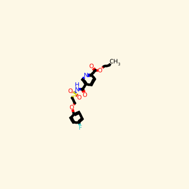 CCCOC(=O)c1ccc(C(=O)NS(=O)(=O)CCOc2ccc(F)cc2)cn1